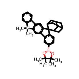 CC1(C)OB(c2ccc3c(c2)-c2cc4c(cc2C32C3CC5CC(C3)CC2C5)-c2ccccc2[Si]4(C)C)OC1(C)C